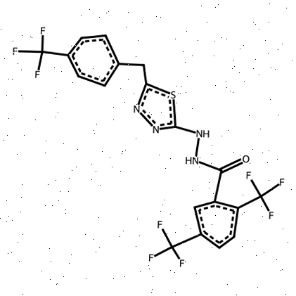 O=C(NNc1nnc(Cc2ccc(C(F)(F)F)cc2)s1)c1cc(C(F)(F)F)ccc1C(F)(F)F